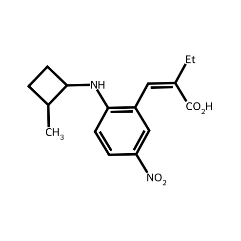 CCC(=Cc1cc([N+](=O)[O-])ccc1NC1CCC1C)C(=O)O